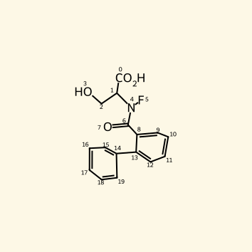 O=C(O)C(CO)N(F)C(=O)c1ccccc1-c1ccccc1